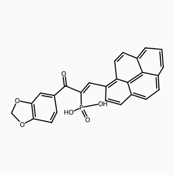 O=C(C(=Cc1ccc2ccc3cccc4ccc1c2c34)P(=O)(O)O)c1ccc2c(c1)OCO2